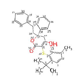 Cc1ccc(C(C)(C)C)c(SC2=C(O)CC(CCc3ccccc3)(c3ccccc3)OC2=O)c1